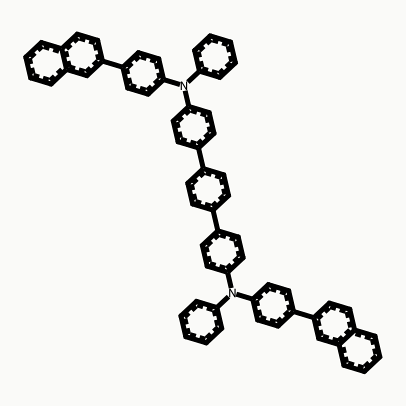 c1ccc(N(c2ccc(-c3ccc(-c4ccc(N(c5ccccc5)c5ccc(-c6ccc7ccccc7c6)cc5)cc4)cc3)cc2)c2ccc(-c3ccc4ccccc4c3)cc2)cc1